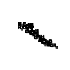 CNC(=O)N1CCC2(CC1)C[C@@H]2NC(=O)Nc1cc(-c2cnn3c2CC(C)(C)C3)c(Cl)cn1